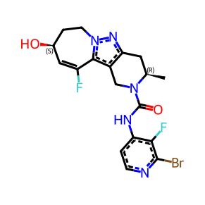 C[C@@H]1Cc2nn3c(c2CN1C(=O)Nc1ccnc(Br)c1F)C(F)=C[C@@H](O)CC3